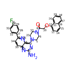 Nc1nc(N2CCN(C(=O)COc3cccc4ccccc34)CC2)c2nc(-c3ccc(F)cc3)ccc2n1